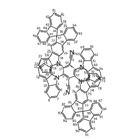 N#Cc1c(-n2c3ccccc3c3ccccc32)c(-n2c3ccccc3c3cc4c(cc32)-c2ccccc2C42c3ccccc3-c3ccccc32)c(C#N)c(-n2c3ccccc3c3ccccc32)c1-n1c2ccccc2c2cc3c(cc21)-c1ccccc1C31c2ccccc2-c2ccccc21